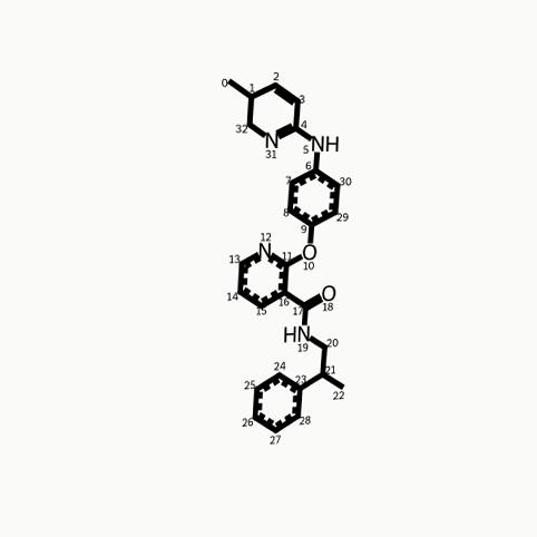 CC1C=CC(Nc2ccc(Oc3ncccc3C(=O)NCC(C)c3ccccc3)cc2)=NC1